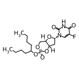 CCCCC(CCCC)OP1(=O)OC[C@H]2O[C@@H](n3cc(F)c(=O)[nH]c3=O)C[C@@H]2O1